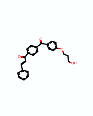 O=C(C=Cc1ccccc1)c1ccc(C(=O)c2ccc(OCCCO)cc2)cc1